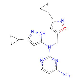 Nc1ccnc(N(Cc2cc(C3CC3)no2)c2cc(C3CC3)n[nH]2)n1